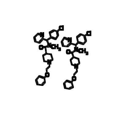 CN(C(=O)C1CCN(CCOc2ccccc2)CC1)C(c1ccc(Cl)cc1)c1ccccn1.CN(C(=O)C1CCN(CCOc2ccccc2)CC1)C(c1ccc(Cl)cc1)c1ccccn1